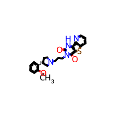 COc1ccccc1[C@@H]1CCN(CCCn2c(=O)[nH]c3c(sc4cccnc43)c2=O)C1